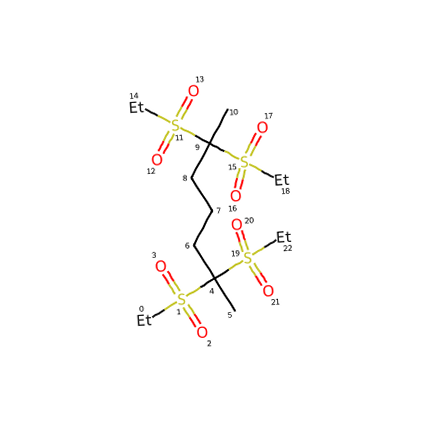 CCS(=O)(=O)C(C)(CCCC(C)(S(=O)(=O)CC)S(=O)(=O)CC)S(=O)(=O)CC